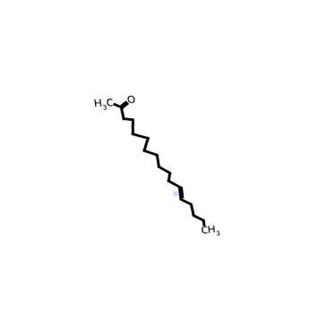 CCCC/C=C/CCCCCCCCCC(C)=O